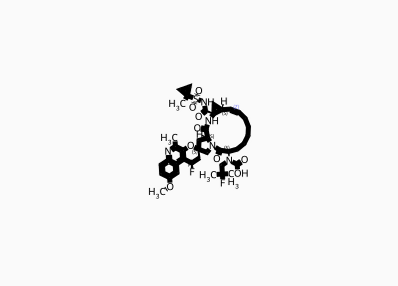 COc1ccc2nc(C)c3c(c2c1)[C@H](F)C[C@]1(C[C@H]2C(=O)N[C@]4(C(=O)NS(=O)(=O)C5(C)CC5)C[C@H]4/C=C\CCCCC[C@H](N(CC(C)(C)F)C(=O)O)C(=O)N2C1)O3